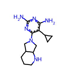 Nc1nc(N)c(C2CC2)c(N2CC3CCCNC3C2)n1